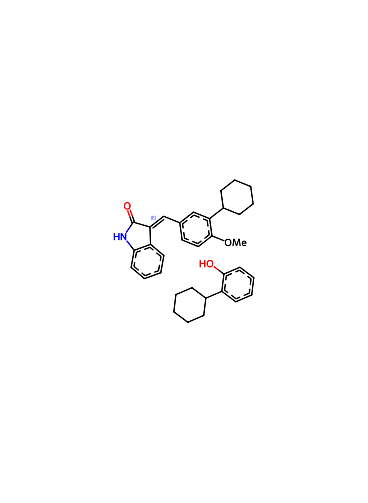 COc1ccc(/C=C2/C(=O)Nc3ccccc32)cc1C1CCCCC1.Oc1ccccc1C1CCCCC1